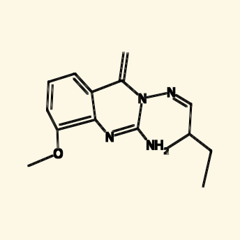 C=C1c2cccc(OC)c2N=C(N)N1/N=C\C(C)CC